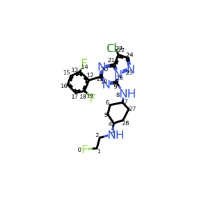 FCCNC1CCC(Nc2nc(-c3c(F)cccc3F)nc3c(Cl)cnn23)CC1